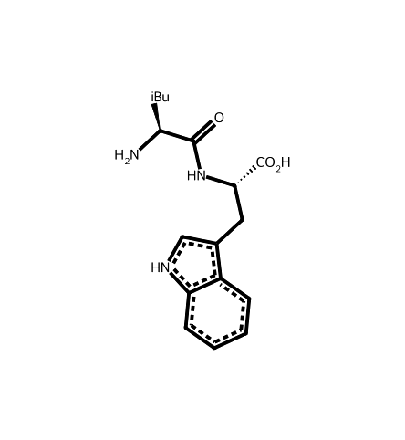 CCC(C)[C@H](N)C(=O)N[C@@H](Cc1c[nH]c2ccccc12)C(=O)O